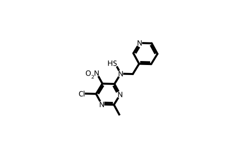 Cc1nc(Cl)c([N+](=O)[O-])c(N(S)Cc2cccnc2)n1